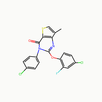 Cc1csc2c(=O)n(-c3ccc(Cl)cc3)c(Oc3ccc(Cl)cc3F)nc12